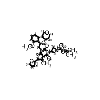 COc1ccccc1C(Cn1c(=O)n(C2CN(C(=O)OC(C)(C)C)C2)c(=O)c2c(C)c(-c3ncco3)sc21)OC1CCOCC1